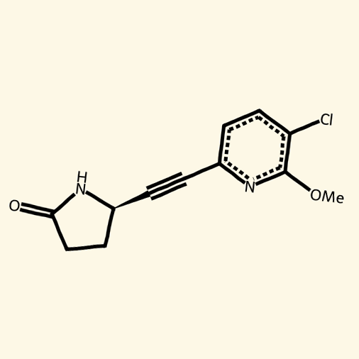 COc1nc(C#C[C@H]2CCC(=O)N2)ccc1Cl